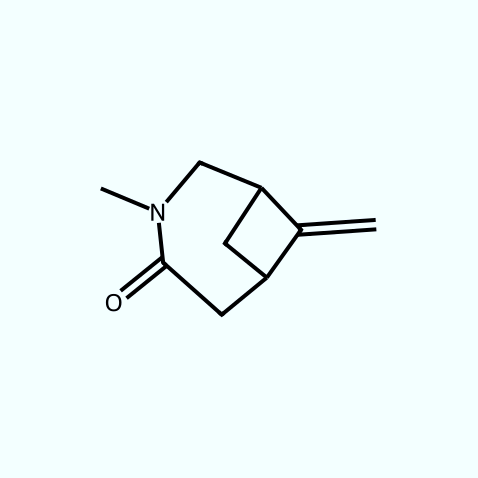 C=C1C2CC(=O)N(C)CC1C2